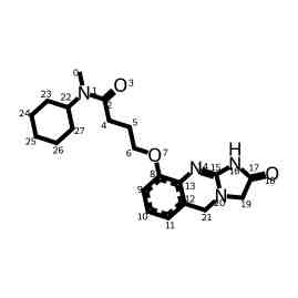 CN(C(=O)CCCOc1cccc2c1N=C1NC(=O)CN1C2)C1CCCCC1